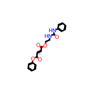 O=C(NCCOC(=O)/C=C/C(=O)Oc1ccccc1)Nc1ccccc1